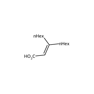 CCCCCCC(=CC(=O)O)CCCCCC